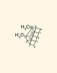 CC12C3C45CC6C7C8CC49C1(C)C89C72C635